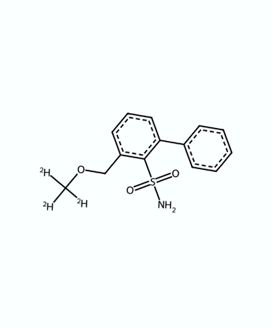 [2H]C([2H])([2H])OCc1cccc(-c2ccccc2)c1S(N)(=O)=O